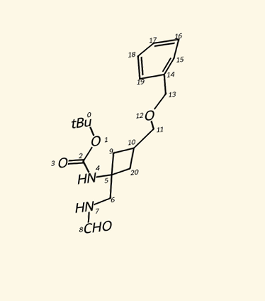 CC(C)(C)OC(=O)NC1(CNC=O)CC(COCc2ccccc2)C1